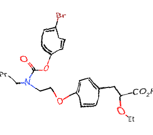 CCOC(Cc1ccc(OCCN(CC(C)C)C(=O)Oc2ccc(Br)cc2)cc1)C(=O)O